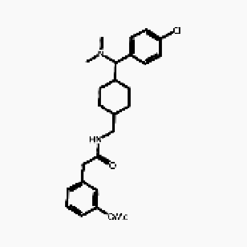 COc1cccc(CC(=O)NCC2CCC(C(c3ccc(Cl)cc3)N(C)C)CC2)c1